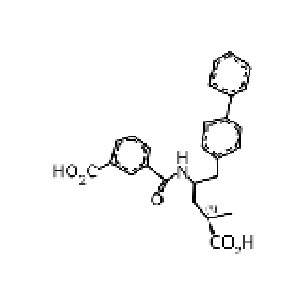 C[C@H](CC(Cc1ccc(-c2ccccc2)cc1)NC(=O)c1cccc(C(=O)O)c1)C(=O)O